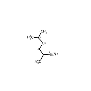 CC(C#N)COC(C)C